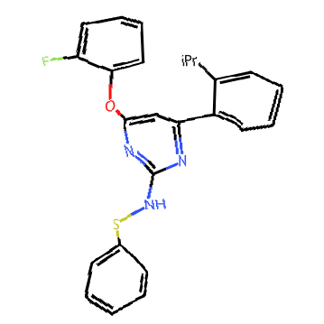 CC(C)c1ccccc1-c1cc(Oc2ccccc2F)nc(NSc2ccccc2)n1